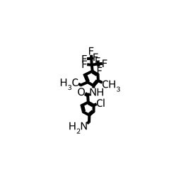 CCc1cc(C(F)(C(F)(F)F)C(F)(F)F)cc(C)c1NC(=O)c1ccc(CN)cc1Cl